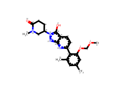 CCOCOc1cc(C(F)(F)F)cc(C)c1-c1ccc2c(O)n(C3CCC(=O)N(C)C3)nc2n1